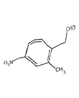 Cc1cc([N+](=O)[O-])ccc1CC=O